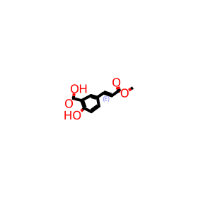 COC(=O)/C=C/c1ccc(O)c(C(=O)O)c1